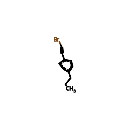 CCCc1ccc(C#CBr)cc1